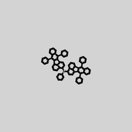 c1ccc(-c2c3c(c(-c4ccccc4)c4ccccc24)-c2ccc(N(c4ccccc4)c4ccc5c6c(cccc46)-c4c-5c(-c5ccccc5)c5ccccc5c4-c4ccccc4)c4cccc-3c24)cc1